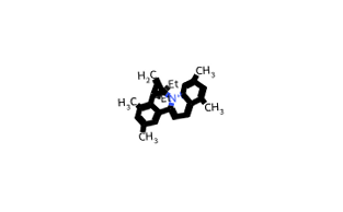 C=C1C2(CC)c3c(C)cc(C)cc3-c3ccc4c(C)cc(C)cc4[n+]3C12CC